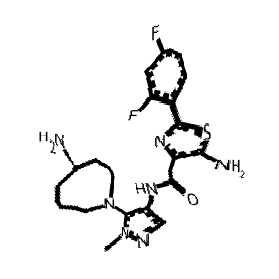 Cn1ncc(NC(=O)c2nc(-c3ccc(F)cc3F)sc2N)c1N1CCC[C@@H](N)CC1